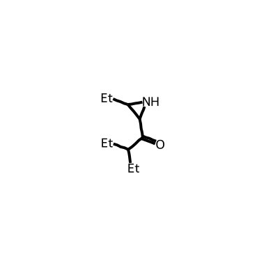 CCC(CC)C(=O)C1NC1CC